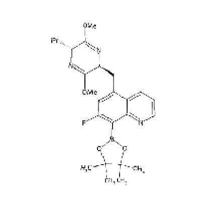 COC1=N[C@H](C(C)C)C(OC)=N[C@H]1Cc1cc(F)c(B2OC(C)(C)C(C)(C)O2)c2ncccc12